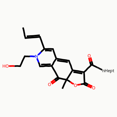 C/C=C/C1=CC2=CC3=C(C(=O)CCCCCCC)C(=O)OC3(C)C(=O)C2=CN1CCO